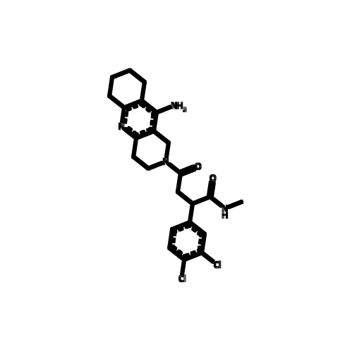 CNC(=O)C(CC(=O)N1CCc2nc3c(c(N)c2C1)CCCC3)c1ccc(Cl)c(Cl)c1